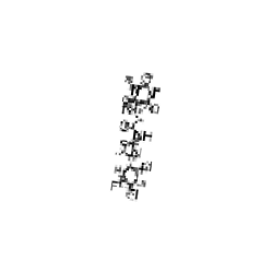 Cn1c(=O)c2c(CC(=O)Nc3nc(-c4cc(F)c(Cl)cc4Cl)cs3)nsc2n(C)c1=O